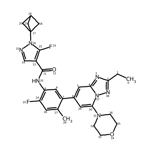 CCc1nc2cc(-c3cc(NC(=O)c4cnn(C56CC(C5)C6)c4F)c(F)cc3C)cc(N3CCOCC3)n2n1